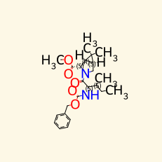 CC[C@H](C)[C@H](NC(=O)OCc1ccccc1)C(=O)N1C[C@H]2[C@@H]([C@H]1C(=O)OC)C2(C)C